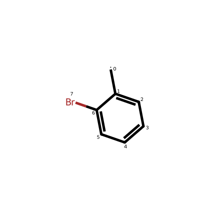 [CH2]c1ccccc1Br